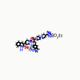 CCOC(=O)c1nnc(C2CCN(C3CCN(C(=O)[C@@H](Cc4cc(C)c5[nH]ncc5c4)NC(=O)N4CCC(C5=Cc6ccccc6NC5O)CC4)CC3)CC2)[nH]1